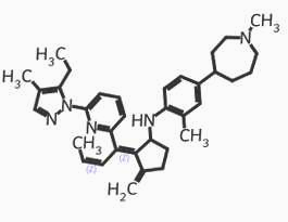 C=C1CCC(Nc2ccc(C3CCCN(C)CC3)cc2C)/C1=C(/C=C\C)c1cccc(-n2ncc(C)c2CC)n1